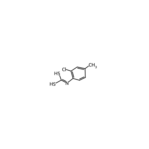 Cc1ccc(N=C(S)S)c(Cl)c1